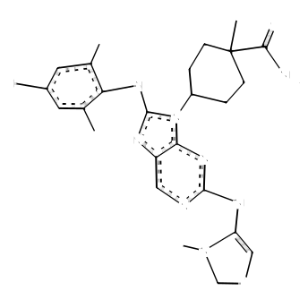 CC1(C(N)=O)CCC(n2c(Nc3c(Cl)cc(Cl)cc3Cl)nc3cnc(NC4=COCN4F)nc32)CC1